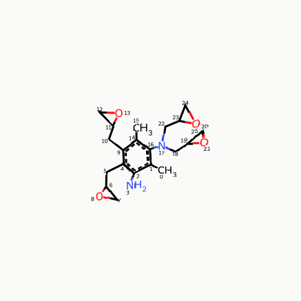 Cc1c(N)c(CC2CO2)c(CC2CO2)c(C)c1N(CC1CO1)CC1CO1